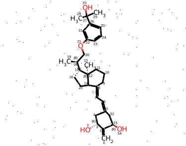 C=C1[C@H](O)CC(=C/C=C2\CCC[C@@]3(C)C2CC[C@@H]3[C@@H](C)COc2cccc(C(C)(C)O)c2)C[C@H]1O